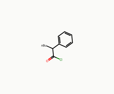 CCCCC(C(=O)Cl)c1ccccc1